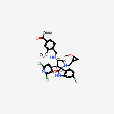 COC(=O)c1ccc(CN[C@@H]2[C@H](CO)N(CC3CC3)[C@@]3(C(=O)Nc4cc(Cl)ccc43)[C@H]2c2cc(Cl)nc(Cl)c2)c([N+](=O)[O-])c1